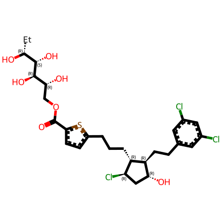 CC[C@@H](O)[C@H](O)[C@H](O)[C@H](O)COC(=O)c1ccc(CCC[C@@H]2[C@@H](CCc3cc(Cl)cc(Cl)c3)[C@H](O)C[C@H]2Cl)s1